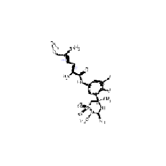 CO/C(N)=C/C=C(\N)C(=O)Nc1cc(F)c(F)c([C@]2(C)CS(=O)(=O)N(C)C(=N)N2)c1